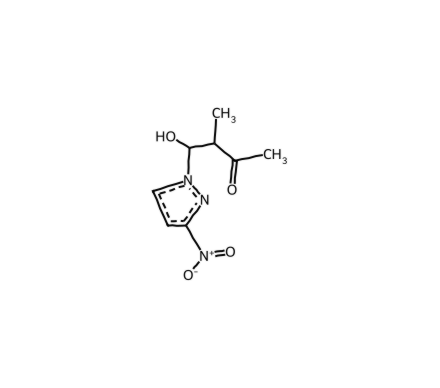 CC(=O)C(C)C(O)n1ccc([N+](=O)[O-])n1